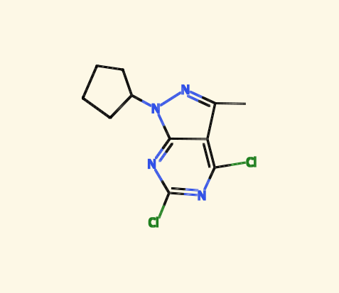 Cc1nn(C2CCCC2)c2nc(Cl)nc(Cl)c12